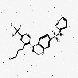 O=S(=O)(Nc1cccnn1)c1ccc2c(c1)OCC[C@@H]2c1ccc(C(F)(F)F)cc1CCCF